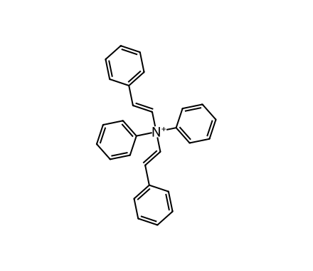 C(=C[N+](C=Cc1ccccc1)(c1ccccc1)c1ccccc1)c1ccccc1